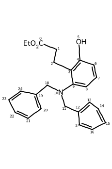 CCOC(=O)CCc1c(O)cccc1N(Cc1ccccc1)Cc1ccccc1